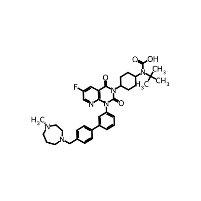 CN1CCCN(Cc2ccc(-c3cccc(-n4c(=O)n(C5CCC(N(C(=O)O)C(C)(C)C)CC5)c(=O)c5cc(F)cnc54)c3)cc2)CC1